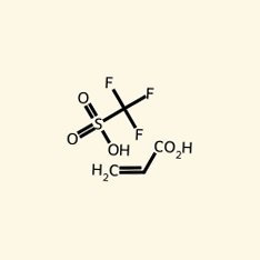 C=CC(=O)O.O=S(=O)(O)C(F)(F)F